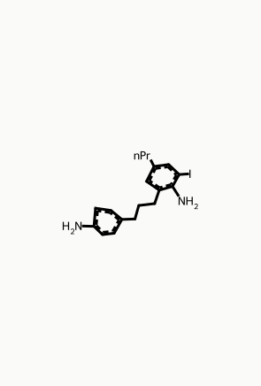 CCCc1cc(I)c(N)c(CCCc2ccc(N)cc2)c1